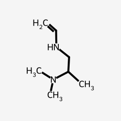 C=CNCC(C)N(C)C